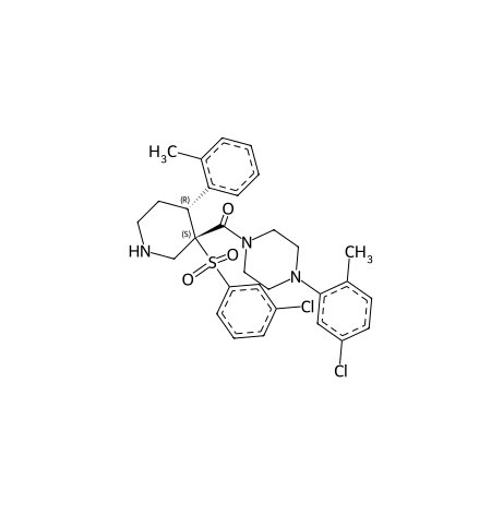 Cc1ccccc1[C@H]1CCNC[C@@]1(C(=O)N1CCN(c2cc(Cl)ccc2C)CC1)S(=O)(=O)c1cccc(Cl)c1